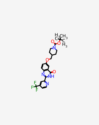 CC(C)(C)OC(=O)N1CCC(COc2ccc3nc(-c4cc(C(F)(F)F)ccn4)[nH]c(=O)c3c2)CC1